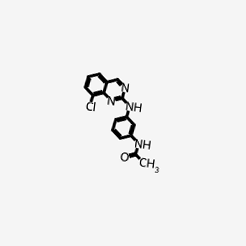 CC(=O)Nc1cccc(Nc2ncc3cccc(Cl)c3n2)c1